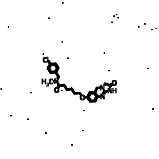 CN(Cc1ccc(Cl)cc1)C(=O)CCCCCOc1ccc2c(c1)CN1CC(=O)NC1=N2